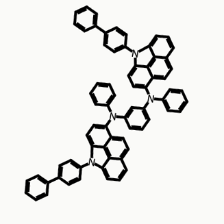 c1ccc(-c2ccc(-n3c4cccc5ccc6c(N(c7ccccc7)c7cccc(N(c8ccccc8)c8ccc9c%10c8ccc8cccc(c8%10)n9-c8ccc(-c9ccccc9)cc8)c7)ccc3c6c54)cc2)cc1